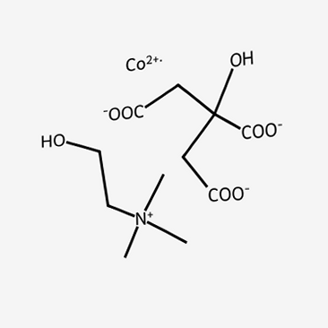 C[N+](C)(C)CCO.O=C([O-])CC(O)(CC(=O)[O-])C(=O)[O-].[Co+2]